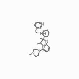 CC1N2C(N3CCN(C)CC3)=CC=CC2=NC1(C)[C@H]1CCC[C@@H](c2ncccc2Cl)N1